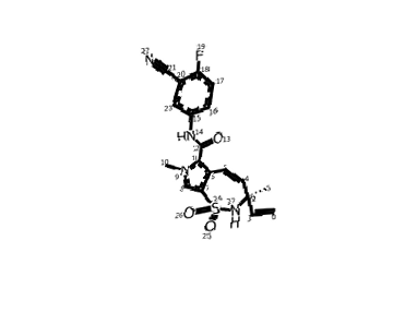 C=C[C@]1(C)C=Cc2c(cn(C)c2C(=O)Nc2ccc(F)c(C#N)c2)S(=O)(=O)N1